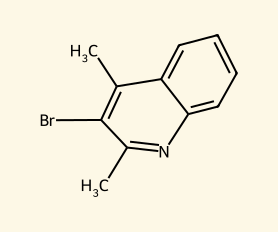 Cc1nc2ccccc2c(C)c1Br